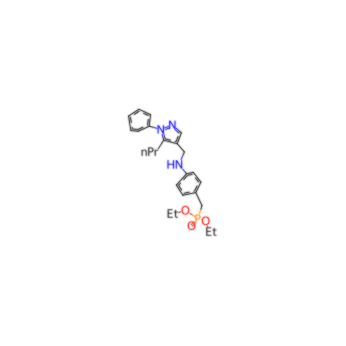 CCCc1c(CNc2ccc(CP(=O)(OCC)OCC)cc2)cnn1-c1ccccc1